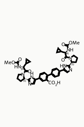 COC(=O)N[C@@H](C(=O)N1CCC[C@H]1c1ncc(-c2ccc(-c3ccc(-c4cnc([C@@H]5CCCN5C(=O)[C@H](NC(=O)OC)C5CC5)[nH]4)cc3C(=O)O)cc2)[nH]1)C1CC1